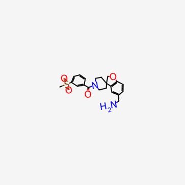 CS(=O)(=O)c1cccc(C(=O)N2CCC3(CC2)COc2ccc(CN)cc23)c1